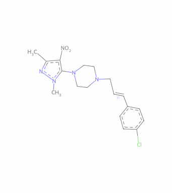 Cc1nn(C)c(N2CCN(C/C=C/c3ccc(Cl)cc3)CC2)c1[N+](=O)[O-]